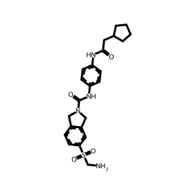 NCS(=O)(=O)c1ccc2c(c1)CN(C(=O)Nc1ccc(NC(=O)CC3CCCC3)cc1)C2